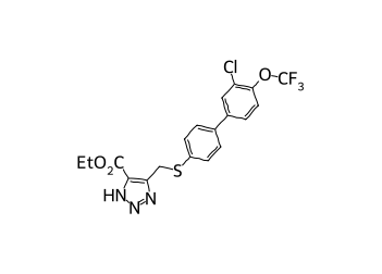 CCOC(=O)c1[nH]nnc1CSc1ccc(-c2ccc(OC(F)(F)F)c(Cl)c2)cc1